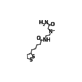 CN(CCNC(=O)CCCCC1CCSS1)CC(N)=O